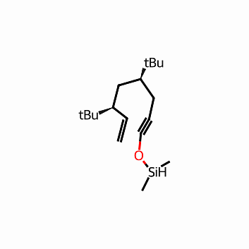 C=C[C@H](C[C@H](CC#CO[SiH](C)C)C(C)(C)C)C(C)(C)C